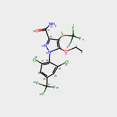 CCOc1c(SC(F)(F)F)c(C(N)=O)nn1-c1c(Cl)cc(C(F)(F)F)cc1Cl